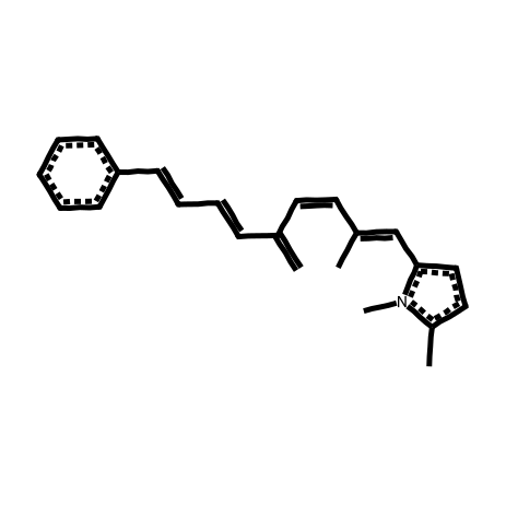 C=C(/C=C\C(C)=C\c1ccc(C)n1C)/C=C/C=C/c1ccccc1